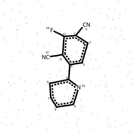 N#Cc1ccc(-c2ccccn2)c(C#N)c1F